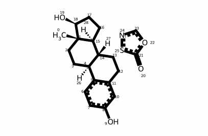 C[C@]12CC[C@@H]3c4ccc(O)cc4CC[C@H]3[C@@H]1CC[C@@H]2O.O=c1ocns1